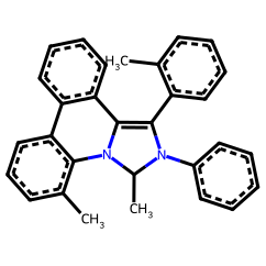 Cc1ccccc1C1=C2c3ccccc3-c3cccc(C)c3N2C(C)N1c1ccccc1